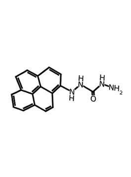 NNC(=O)NNc1ccc2ccc3cccc4ccc1c2c34